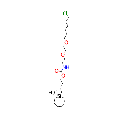 C[Si]1(CCCCOC(=O)NCCOCCOCCCCCCCl)CCCCCC1